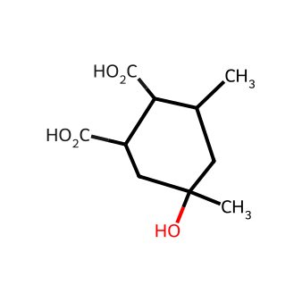 CC1CC(C)(O)CC(C(=O)O)C1C(=O)O